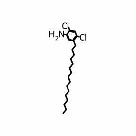 CCCCCCCCCCCCCCCCc1cc(N)c(Cl)cc1Cl